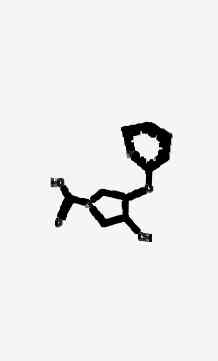 O=C(O)N1CC(O)C(Oc2ccccn2)C1